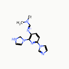 CCN(C)/C=N/c1ccc(-n2ccnc2)nc1N1C=CNC1